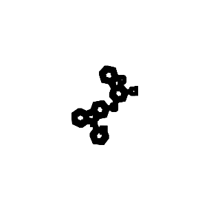 Clc1cc(Oc2ccc3c4ccccc4n(-c4ccccn4)c3c2)cc2c1oc1ccccc12